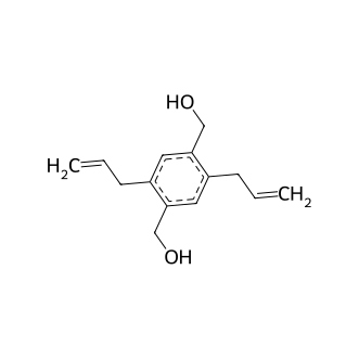 C=CCc1cc(CO)c(CC=C)cc1CO